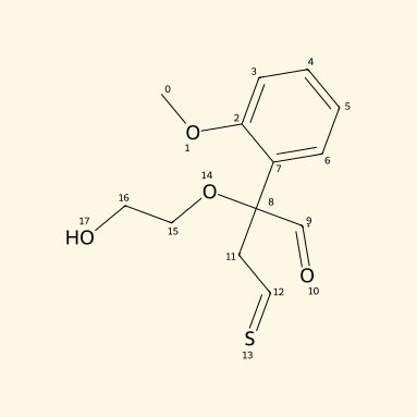 COc1ccccc1C([C]=O)(CC=S)OCCO